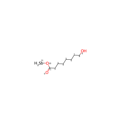 O=C(CCCCCCCO)[O][SbH2]